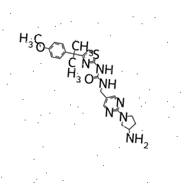 COc1ccc(C(C)(C)c2csc(NC(=O)NCc3cnc(N4CCC(N)C4)nc3)n2)cc1